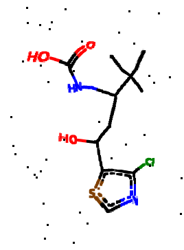 CC(C)(C)C(CC(O)c1scnc1Cl)NC(=O)O